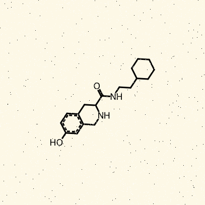 O=C(NCCC1CCCCC1)C1Cc2ccc(O)cc2CN1